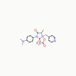 CC1C(=O)N(c2ccc(N(C)C)cc2)C(=O)[N+]1(Cc1ccncc1)OC(=O)C(F)(F)F